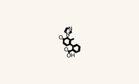 CC1=C(c2ccccc2C(=O)O)C=CC(=O)C1n1ccnc1